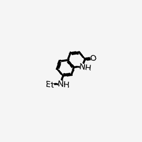 CCNc1ccc2ccc(=O)[nH]c2c1